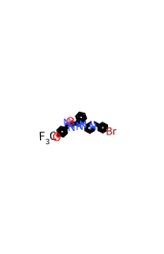 FC(F)(F)Oc1ccc(-c2noc(-c3nn(C4CCCN(Cc5ccc(Br)cc5)C4)c4ccccc34)n2)cc1